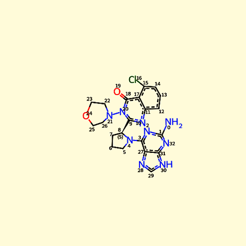 Nc1nc(N2CCC[C@H]2c2nc3cccc(Cl)c3c(=O)n2N2CCOCC2)c2nc[nH]c2n1